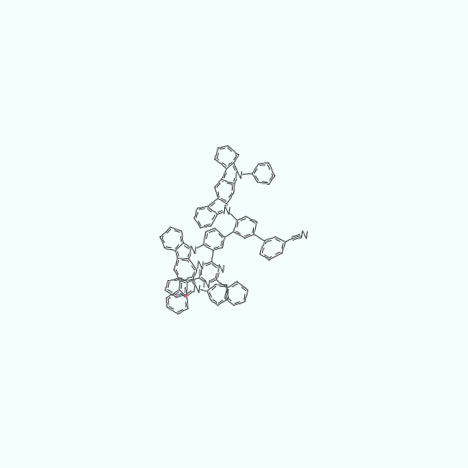 N#Cc1cccc(-c2ccc(-n3c4ccccc4c4cc5c6ccccc6n(-c6ccccc6)c5cc43)c(-c3ccc(-n4c5ccccc5c5cc6c7ccccc7n(-c7ccccc7)c6cc54)c(-c4nc(-c5ccccc5)nc(-c5ccccc5)n4)c3)c2)c1